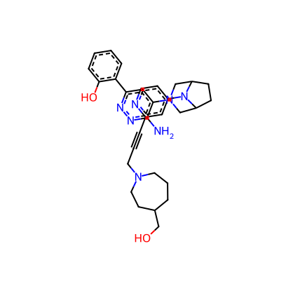 Nc1nnc(-c2ccccc2O)cc1N1CC2CCC(C1)N2c1ccnc(C#CCN2CCCC(CO)CC2)c1